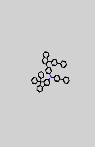 C1=CC(C2(c3ccccc3)c3ccccc3-c3ccc(N(c4ccc(-c5ccccc5)cc4)c4ccc(-c5ccc6ccccc6c5-c5ccc(-c6ccccc6)cc5)cc4)cc32)=CCC1